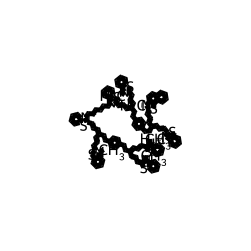 CN1C(=CC=CC(=CC=Cc2sc3ccccc3[n+]2C)CCc2ccc(CCC(C=CC=C3Sc4ccccc4N3C)=CC=Cc3sc4ccccc4[n+]3CCCCCC[n+]3c(C=CC=C(C=CC=C4Sc5ccccc5N4C)CCc4ccc(CCC(C=CC=C5Sc6c(ccc7ccccc67)N5C)=CC=Cc5sc6ccccc6[n+]5C)cc4)sc4ccccc43)cc2)Sc2ccccc21